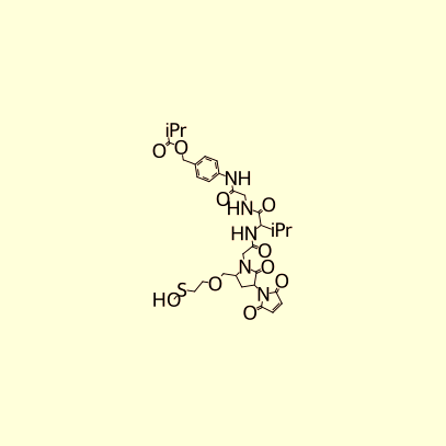 CC(C)C(=O)OCc1ccc(NC(=O)CNC(=O)C(NC(=O)CN2C(=O)C(N3C(=O)C=CC3=O)CC2COCCSO)C(C)C)cc1